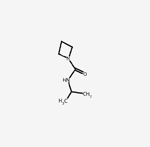 CC(C)NC(=O)N1CCC1